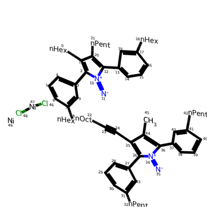 CCCCCCC1=C(c2cccc(CCCCCC)c2)[N+](=[N-])C(c2cccc(CCCCCC)c2)=C1CCCCC.CCCCCCCCC#CC1=C(c2cccc(CCCCC)c2)[N+](=[N-])C(c2cccc(CCCCC)c2)=C1C.[Cl][Ni][Cl].[Ni]